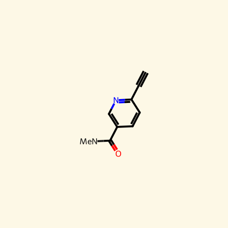 C#Cc1ccc(C(=O)NC)cn1